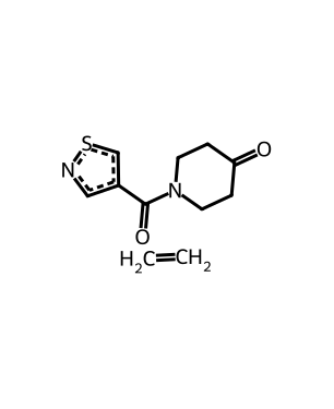 C=C.O=C1CCN(C(=O)c2cnsc2)CC1